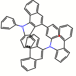 c1ccc(-c2ccccc2N(c2cccc(-c3cc4ccccc4c4c3c3ccccc3n4-c3ccccc3)c2)c2cc3ccccc3c3ccccc23)cc1